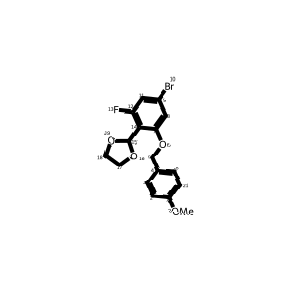 COc1ccc(COc2cc(Br)cc(F)c2C2OCCO2)cc1